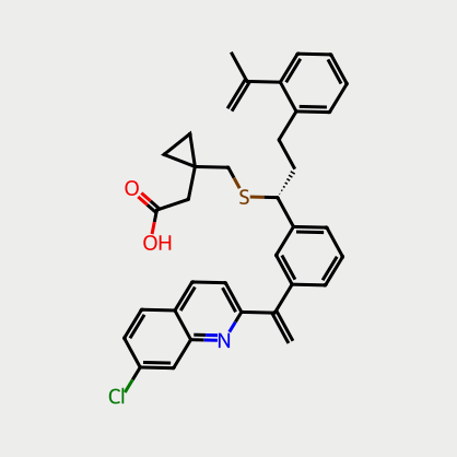 C=C(c1cccc([C@@H](CCc2ccccc2C(=C)C)SCC2(CC(=O)O)CC2)c1)c1ccc2ccc(Cl)cc2n1